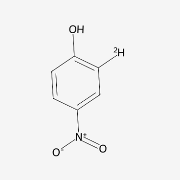 [2H]c1cc([N+](=O)[O-])ccc1O